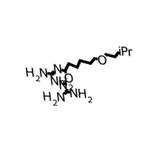 CC(C)CCOCCCCCC(N=C(N)N)ON=C(N)N